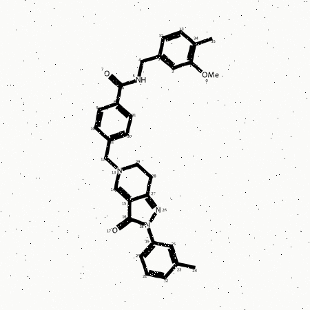 COc1cc(CNC(=O)c2ccc(CN3C=C4C(=O)N(c5cccc(C)c5)N=C4CC3)cc2)ccc1C